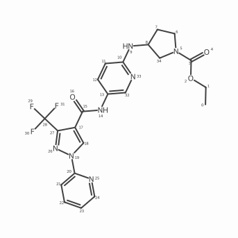 CCOC(=O)N1CCC(Nc2ccc(NC(=O)c3cn(-c4ccccn4)nc3C(F)(F)F)cn2)C1